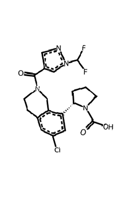 O=C(c1cnn(C(F)F)c1)N1CCc2cc(Cl)cc([C@@H]3CCCN3C(=O)O)c2C1